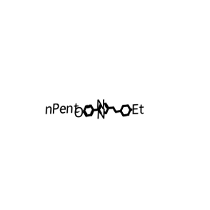 CCCCCOc1ccc(-c2ncc(CCC3CCC(CC)CC3)cn2)cc1